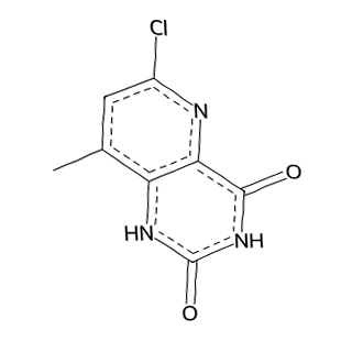 Cc1cc(Cl)nc2c(=O)[nH]c(=O)[nH]c12